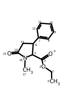 CCOC(=O)C1C(c2ccccc2)CC(=O)N1C